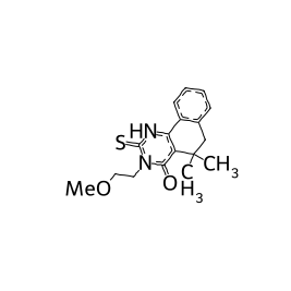 COCCn1c(=S)[nH]c2c(c1=O)C(C)(C)Cc1ccccc1-2